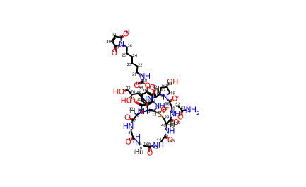 CC[C@H](C)[C@@H]1NC(=O)CNC(=O)[C@H]2Cc3c([nH]c4cc(OC(=O)NCCCCCCN5C(=O)C=CC5=O)ccc34)[S+]([O-])C[C@H](NC(=O)CNC1=O)C(=O)N[C@@H](CC(N)=O)C(=O)N1C[C@H](O)C[C@H]1C(=O)N[C@@H]([C@@H](C)[C@@H](O)CO)C(=O)N2